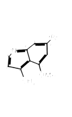 COc1cc(Br)cc2nccc(C)c12